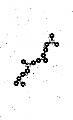 c1ccc(-c2nc(-c3ccccc3)nc(-c3ccc4oc5cc(-c6ccc7c(c6)c6ccccc6n7-c6ccc(-c7ccc(-c8nc(-c9ccccc9)nc(-c9ccc%10oc%11cc(-c%12ccc%13c%14ccccc%14n(-c%14ccccc%14)c%13c%12)ccc%11c%10c9)n8)cc7)cc6)ccc5c4c3)n2)cc1